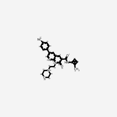 CC1C2CC1(NC(=O)c1cc3cc(-c4ccc(C#N)cc4)cnc3n(CCN3CCOCC3)c1=O)C2